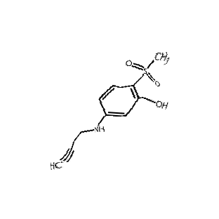 C#CCNc1ccc(S(C)(=O)=O)c(O)c1